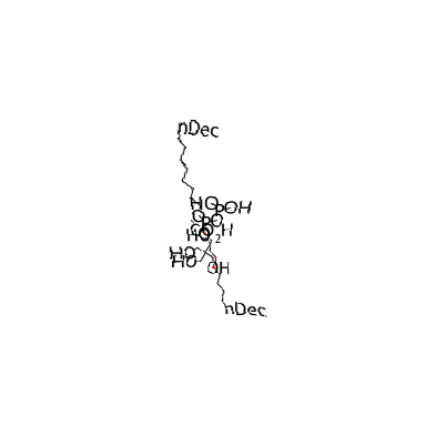 CC(=O)O.CCCCCCCCCCCCCCCCCCOP(OCCCCCCCCCCCCCCCCCC)OP(O)O.OCC(CO)(CO)CO